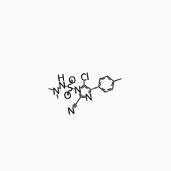 Cc1ccc(-c2nc(C#N)n(S(=O)(=O)NN(C)C)c2Cl)cc1